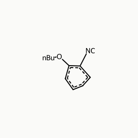 [C-]#[N+]c1ccccc1OCCCC